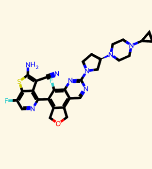 N#Cc1c(N)sc2c(F)cnc(-c3c4c(c5cnc(N6CC[C@@H](N7CCN(C8CC8)CC7)C6)nc5c3F)COC4)c12